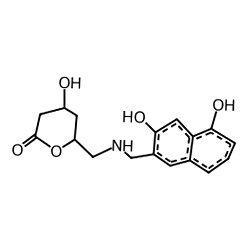 O=C1CC(O)CC(CNCc2cc3cccc(O)c3cc2O)O1